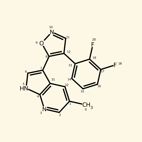 Cc1cnc2[nH]cc(-c3oncc3-c3cccc(F)c3F)c2c1